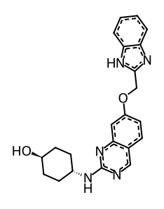 O[C@H]1CC[C@H](Nc2ncc3ccc(OCc4nc5ccccc5[nH]4)cc3n2)CC1